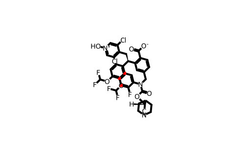 O=C([O-])c1ccc(CN(C(=O)O[C@H]2CN3CCC2CC3)c2ccccc2F)cc1[C@H](Cc1c(Cl)c[n+](O)cc1Cl)c1ccc(OC(F)F)c(OC(F)F)c1